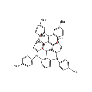 CC(C)(C)c1ccc(N(c2ccc(C(C)(C)C)cc2)c2cccc(N(c3ccc(C(C)(C)C)cc3)c3ccc(C(C)(C)C)cc3)c2-c2cc3c4c(c2)Oc2ccc(C(C)(C)C)cc2B4c2cc(C(C)(C)C)ccc2O3)cc1